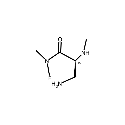 CN[C@@H](CN)C(=O)N(C)F